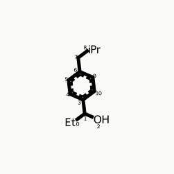 CCC(O)c1ccc(CC(C)C)cc1